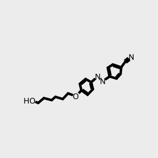 N#Cc1ccc(N=Nc2ccc(OCCCCCCO)cc2)cc1